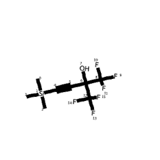 C[Si](C)(C)C#CC(O)(C(F)(F)F)C(F)(F)F